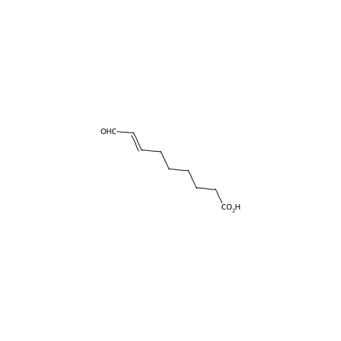 O=C/C=C/CCCCCC(=O)O